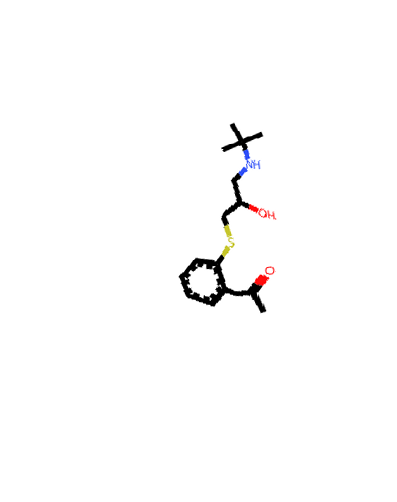 CC(=O)c1ccccc1SCC(O)CNC(C)(C)C